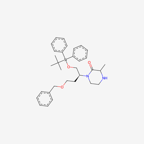 CC1NCCN([C@@H](CCOCc2ccccc2)CO[Si](c2ccccc2)(c2ccccc2)C(C)(C)C)C1=O